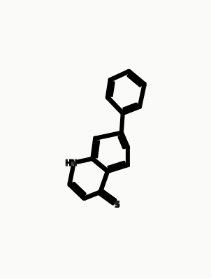 S=c1cc[nH]c2cc(-c3ccccc3)ccc12